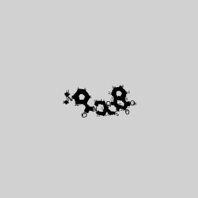 CN(C)c1cccc(C(=O)N2CCC3(CC2)CSC2=C(O3)c3ccccc3C(=O)C2=O)c1